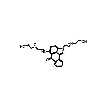 O=C1c2ccccc2-c2nn(CCNCCO)c3ccc(NCCNCCO)c1c23